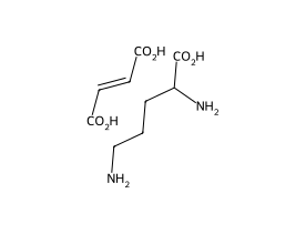 NCCCC(N)C(=O)O.O=C(O)C=CC(=O)O